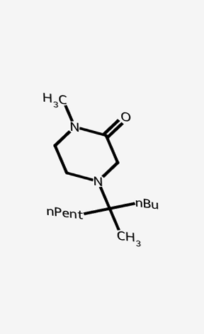 CCCCCC(C)(CCCC)N1CCN(C)C(=O)C1